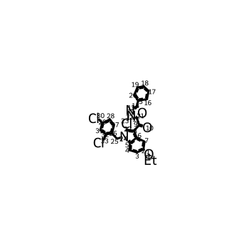 CCOc1ccc2c(c1)c(C(=O)c1nnc(-c3ccccc3)o1)c(Cl)n2Cc1ccc(Cl)cc1Cl